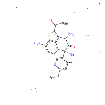 COC(=O)c1sc2c(N)ccc3c2c1C(N)C(=O)C3(N)c1cnc(CC(C)C)cc1C